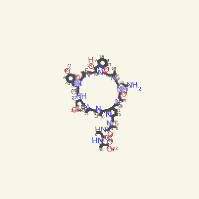 C=C(NC(=O)c1csc(-c2ccc3c(n2)-c2csc(n2)-c2csc(n2)[C@H]([C@@H](C)[C@@H]2CO2)NC(=O)[C@H](Cc2ccc(OC)cc2)NC(=O)c2csc(n2)[C@H]([C@H](O)c2ccccc2)NC(=O)c2nc(sc2C)[C@H](CC(N)=O)NC(=O)c2csc-3n2)n1)C(=O)NC(=C)C(=O)OC